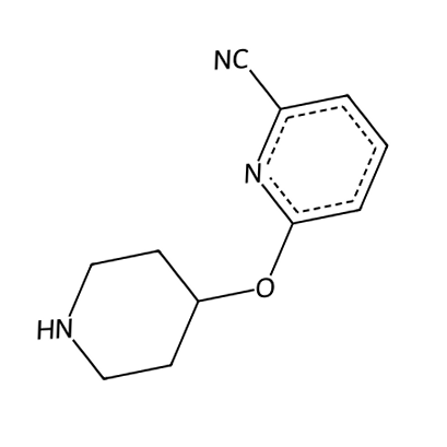 N#Cc1cccc(OC2CCNCC2)n1